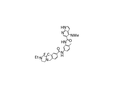 CCN1CCN(Cc2ccc(C(=O)Nc3ccc(C)c(NC(=O)c4cnc5[nH]ccc5c4NC)c3)cc2C(F)(F)F)CC1